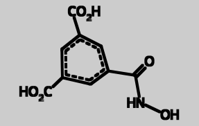 O=C(O)c1cc(C(=O)O)cc(C(=O)NO)c1